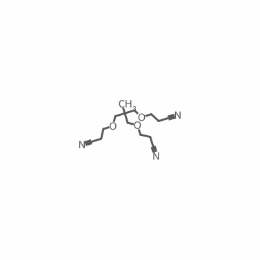 CC(COCCC#N)(COCCC#N)COCCC#N